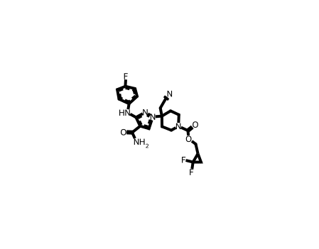 N#CCC1(n2cc(C(N)=O)c(Nc3ccc(F)cc3)n2)CCN(C(=O)OCC2CC2(F)F)CC1